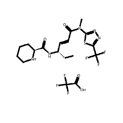 CC[C@@H](C=CC(=O)N(C)c1nnc(C(F)(F)F)s1)NC(=O)[C@@H]1CCCCN1.O=C(O)C(F)(F)F